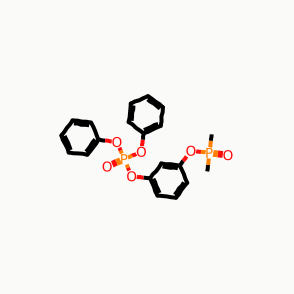 CP(C)(=O)Oc1cccc(OP(=O)(Oc2ccccc2)Oc2ccccc2)c1